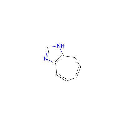 C1=CCc2[nH]cnc2C=C1